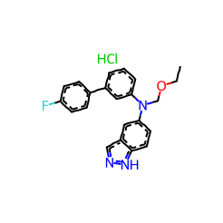 CCOCN(c1cccc(-c2ccc(F)cc2)c1)c1ccc2[nH]ncc2c1.Cl